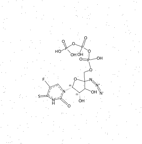 [N-]=[N+]=NC1(COP(=O)(O)OP(=O)(O)OP(=O)(O)O)O[C@@H](n2cc(F)c(=S)[nH]c2=O)[C@@H](O)C1O